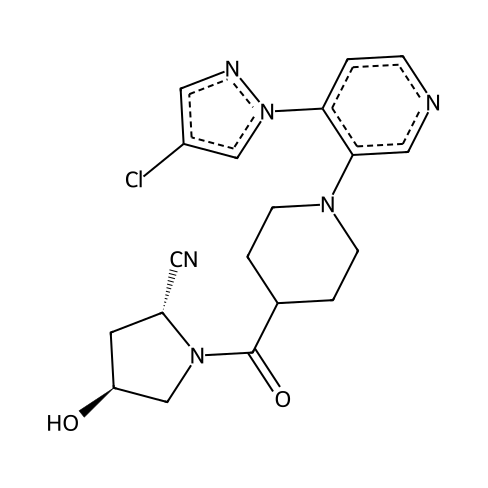 N#C[C@H]1C[C@H](O)CN1C(=O)C1CCN(c2cnccc2-n2cc(Cl)cn2)CC1